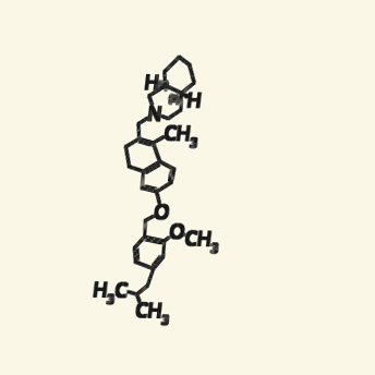 COc1cc(CC(C)C)ccc1COc1ccc2c(c1)CCC(CN1CC[C@H]3CCCC[C@@H]3C1)=C2C